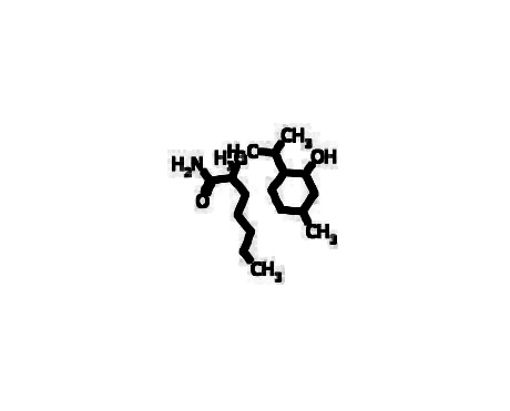 CC1CCC(C(C)C)C(O)C1.CCCCCC(C)C(N)=O